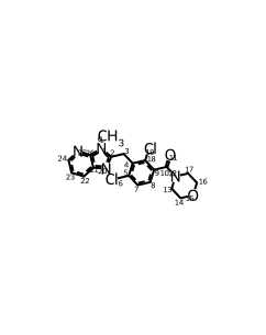 Cn1c(Cc2c(Cl)ccc(C(=O)N3CCOCC3)c2Cl)nc2cccnc21